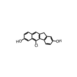 Oc1ccc2c(c1)Cc1cc3ccc(O)cc3c(Cl)c1-2